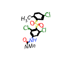 CNC(=O)Nc1cc(Cl)c(S(=O)(=O)c2cc(Cl)ccc2C)c(Cl)c1